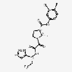 C[C@H]1[C@@H](C(=O)Nc2ccc(F)c(Cl)c2)CCN1C(=O)C(=O)N[C@H](CC(F)(F)F)c1c[nH]nn1